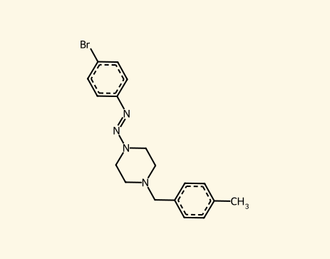 Cc1ccc(CN2CCN(N=Nc3ccc(Br)cc3)CC2)cc1